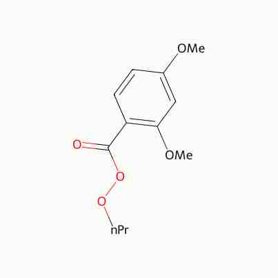 [CH2]CCOOC(=O)c1ccc(OC)cc1OC